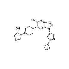 O[C@H]1COCC1N1CCC(c2cc3c(cnn3-c3cnn(C45CC(C4)C5)c3)cc2Cl)CC1